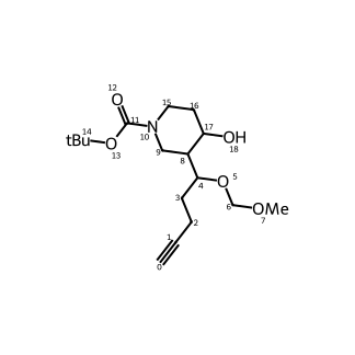 C#CCCC(OCOC)C1CN(C(=O)OC(C)(C)C)CCC1O